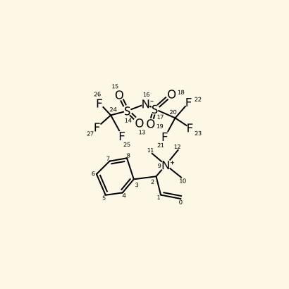 C=CC(c1ccccc1)[N+](C)(C)C.O=S(=O)([N-]S(=O)(=O)C(F)(F)F)C(F)(F)F